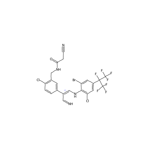 N#CCC(=O)NCc1cc(/C(C=N)=C/Nc2c(Cl)cc(C(F)(C(F)(F)F)C(F)(F)F)cc2Br)ccc1Cl